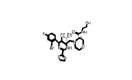 CCOC(=O)C1=C(CN2CCOC[C@H]2C(=O)NCCO)NC(c2nccs2)=NC1c1ccc(F)cc1Br